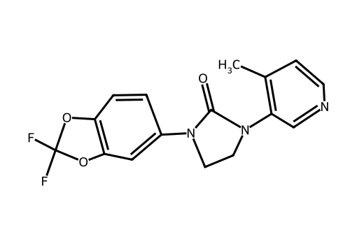 Cc1ccncc1N1CCN(c2ccc3c(c2)OC(F)(F)O3)C1=O